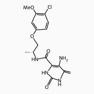 C=C1NC(=O)NC(C(=O)N[C@H](C)COc2ccc(Cl)c(OC)c2)=C1N